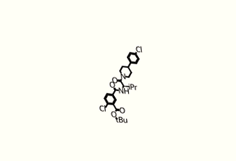 CC(C)[C@@H](NC(=O)c1ccc(Cl)c(C(=O)OC(C)(C)C)c1)C(=O)N1CCC(c2ccc(Cl)cc2)CC1